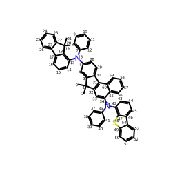 CC1(C)c2cc(N(c3ccccc3)c3cccc4c3C(C)(C)c3ccccc3-4)ccc2-c2c1cc(N(c1ccccc1)c1cccc3c1sc1ccccc13)c1ccccc21